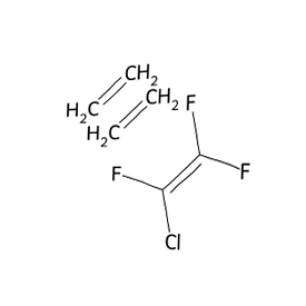 C=C.C=C.FC(F)=C(F)Cl